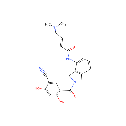 CN(C)C/C=C/C(=O)Nc1cccc2c1CN(C(=O)c1cc(C#N)c(O)cc1O)C2